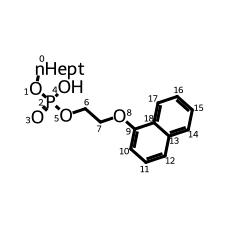 CCCCCCCOP(=O)(O)OCCOc1cccc2ccccc12